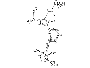 CCOC(=O)C1CCc2c(c(C(N)=O)nn2-c2cc(C#C[C@]3(O)CCN(C)C3=O)ccn2)C1